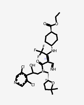 CCOC(=O)[C@H]1CC[C@H](N/C(=C(\C=N)C(=O)N(CC(O)c2c(Cl)cncc2Cl)C[C@H]2CCC(C)(C)O2)C(F)(F)F)CC1